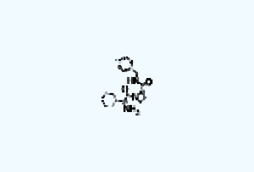 N[C@@H](C(=O)N1CC[C@H]1C(=O)NCc1cc[c]cc1)C1CCCCC1